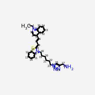 CC[n+]1ccc(/C=C/C=C2\Sc3ccccc3N2CCCCCCn2cc(CN)nn2)c2ccccc21